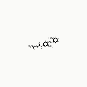 NC(=O)OCC(=O)Nc1ccc(N=Nc2ccccc2O)c(N)n1